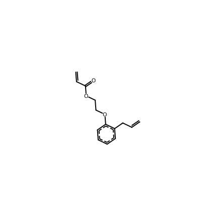 C=CCc1ccccc1OCCOC(=O)C=C